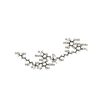 COC1C(C)OC(COC(C)(C)OCC(O)CCCCC(O)COCC2OC(C)C(NC(C)=O)C(O)C2OC2OC(C=O)C(C)C(O)C2O)C(OC2OC(COC(C)(C)OCC(O)CCCCC(O)CO)C(C)C(O)C2OC)C1O